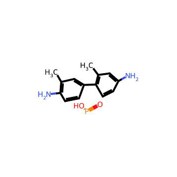 Cc1cc(-c2ccc(N)cc2C)ccc1N.O=PO